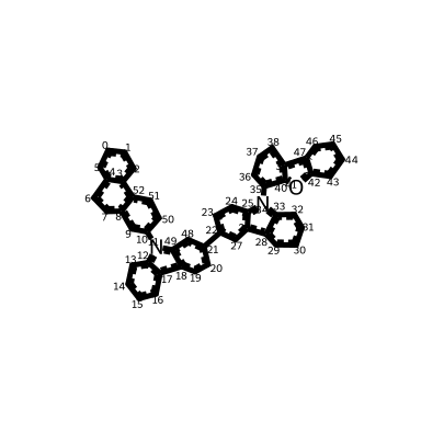 c1ccc2c(c1)ccc1cc(-n3c4ccccc4c4ccc(-c5ccc6c(c5)c5ccccc5n6-c5cccc6c5oc5ccccc56)cc43)ccc12